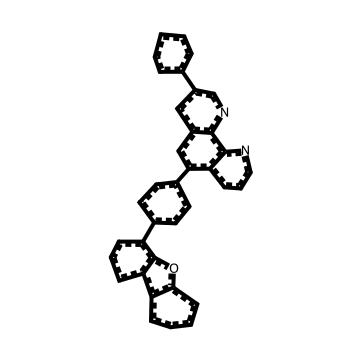 c1ccc(-c2cnc3c(c2)cc(-c2ccc(-c4cccc5c4oc4ccccc45)cc2)c2cccnc23)cc1